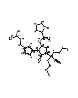 C#CC(CCCC)(CCCC)N1CC(OC(=O)C2CCCO2)N(c2nnc(CCC(C)Cl)s2)C1=O